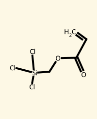 C=CC(=O)OC[Si](Cl)(Cl)Cl